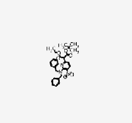 CCOC(=O)C(C(=O)OC(C)(C)C)c1ccc([N+](=O)[O-])c(N(Cc2ccccc2)Cc2ccccc2)n1